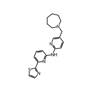 c1cc(Nc2ccc(CN3CCCCCC3)cn2)nc(-c2nccs2)c1